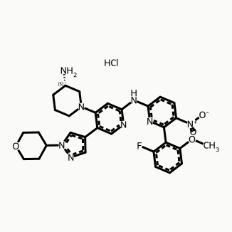 COc1cccc(F)c1-c1nc(Nc2cc(N3CCC[C@H](N)C3)c(-c3cnn(C4CCOCC4)c3)cn2)ccc1[N+](=O)[O-].Cl